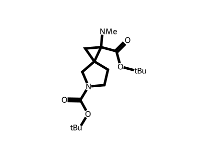 CNC1(C(=O)OC(C)(C)C)CC12CCN(C(=O)OC(C)(C)C)C2